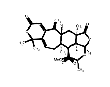 C=C1C2=CC(=O)OC(C)(C)C2=CC[C@@]2(C)[C@H]1C[C@@]1(C)C(=O)O[C@H]3O[C@@H](C)C(=O)[C@@]2(C(=O)OC)[C@H]31